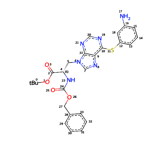 CC(C)(C)OC(=O)[C@H](Cn1cnc2c(Sc3cccc(N)c3)ncnc21)NC(=O)OCc1ccccc1